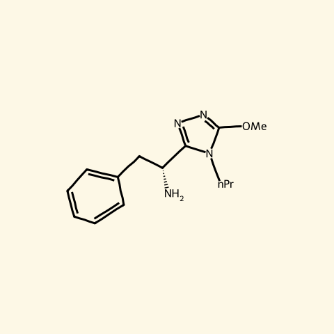 CCCn1c(OC)nnc1[C@H](N)Cc1ccccc1